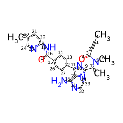 CC#CC(=O)N(C)[C@@H](C)c1nc(-c2ccc(C(=O)Nc3ccc(C)cn3)cc2)c2c(N)nccn12